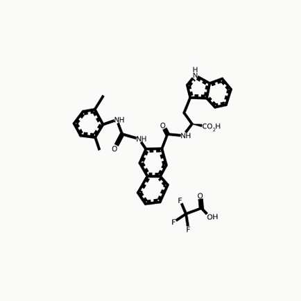 Cc1cccc(C)c1NC(=O)Nc1cc2ccccc2cc1C(=O)N[C@@H](Cc1c[nH]c2ccccc12)C(=O)O.O=C(O)C(F)(F)F